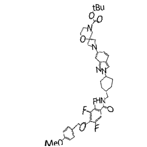 COc1ccc(COc2c(F)cc(C(=O)NCC3CCC(n4cc5ccc(N6CC7(CN(C(=O)OC(C)(C)C)CCO7)C6)cc5n4)CC3)c(F)c2F)cc1